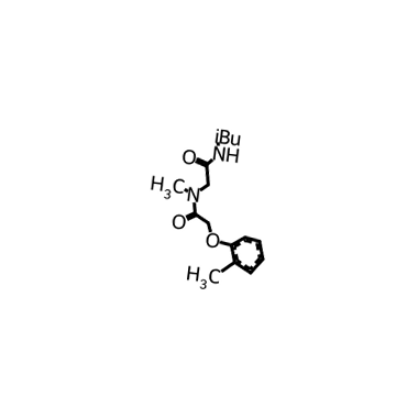 CCC(C)NC(=O)CN(C)C(=O)COc1ccccc1C